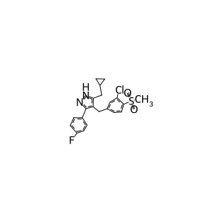 CS(=O)(=O)c1ccc(Cc2c(-c3ccc(F)cc3)n[nH]c2CC2CC2)cc1Cl